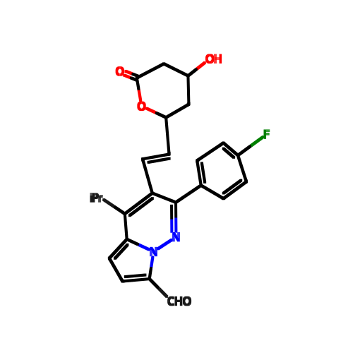 CC(C)c1c(C=CC2CC(O)CC(=O)O2)c(-c2ccc(F)cc2)nn2c(C=O)ccc12